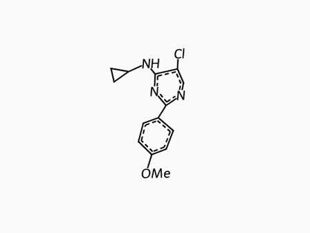 COc1ccc(-c2ncc(Cl)c(NC3CC3)n2)cc1